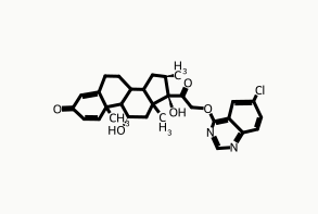 C[C@@H]1CC2C3CCC4=CC(=O)C=CC4(C)C3[C@@H](O)CC2(C)[C@@]1(O)C(=O)COc1ncnc2ccc(Cl)cc12